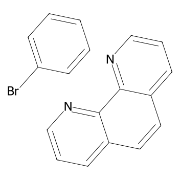 Brc1ccccc1.c1cnc2c(c1)ccc1cccnc12